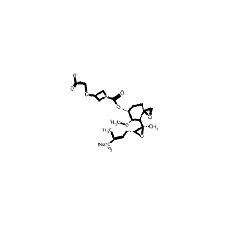 CO[C@@H]1[C@H](OC(=O)N2CC(OCC(=O)[O-])C2)CC[C@]2(CO2)[C@H]1[C@@]1(C)O[C@@H]1CC=C(C)C.[Na+]